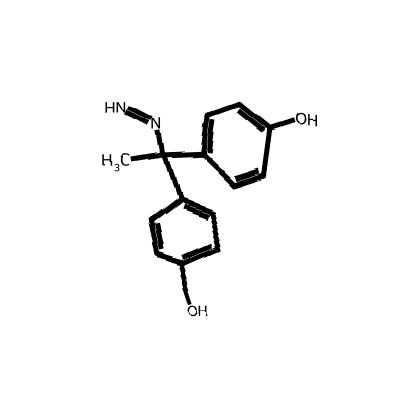 CC(N=N)(c1ccc(O)cc1)c1ccc(O)cc1